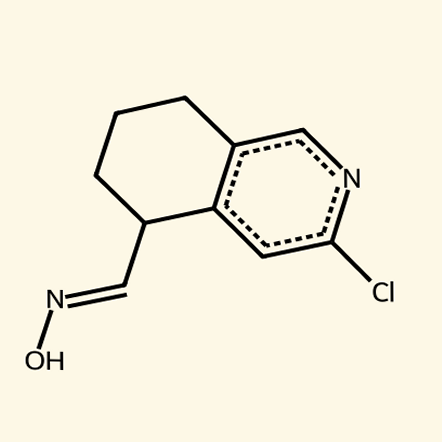 ON=CC1CCCc2cnc(Cl)cc21